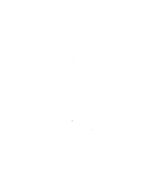 CC(=O)C1CCC(F)(F)C1